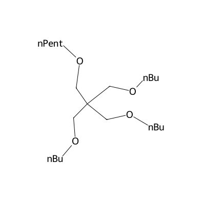 CCCCCOCC(COCCCC)(COCCCC)COCCCC